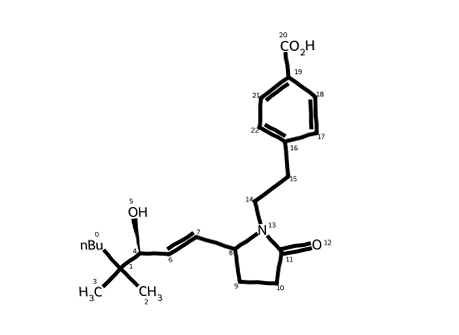 CCCCC(C)(C)[C@@H](O)/C=C/C1CCC(=O)N1CCc1ccc(C(=O)O)cc1